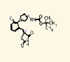 CC(C)(C)OC(=O)NC[C@H]1CCN(c2c(Cl)cccc2/C=C2\SC(=O)NC2=O)C1